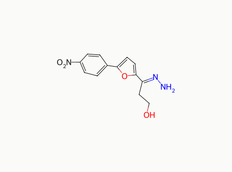 NN=C(CCO)c1ccc(-c2ccc([N+](=O)[O-])cc2)o1